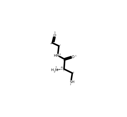 N[C@@H](CS)C(=O)NCC=O